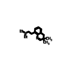 CCN(CC)CCc1cccc2c1N=CC(C)(C)C2